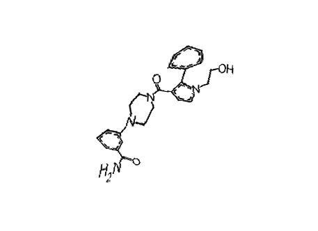 NC(=O)c1cccc(N2CCN(C(=O)c3ccn(CCO)c3-c3ccccc3)CC2)c1